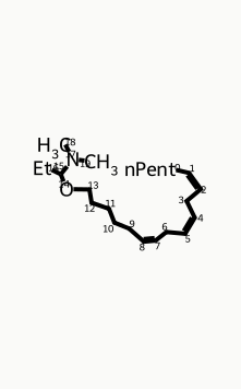 CCCCC/C=C\C/C=C\C/C=C\CCCCCOC(CC)N(C)C